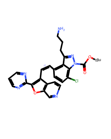 CC(C)(C)OC(=O)n1nc(CCCN)c2c(/C=C\c3c(-c4ncccn4)oc4cnccc34)ccc(Cl)c21